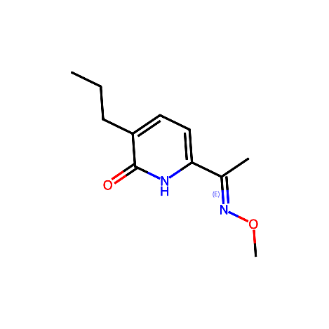 CCCc1ccc(/C(C)=N/OC)[nH]c1=O